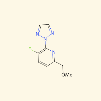 COCc1ccc(F)c(-n2nccn2)n1